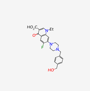 CCn1cc(C(=O)O)c(=O)c2cc(F)c(N3CCN(Cc4ccc(CO)cc4)CC3)cc21